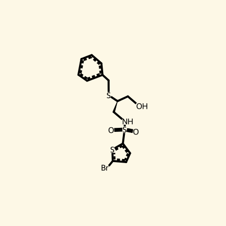 O=S(=O)(NC[C@H](CO)SCc1ccccc1)c1ccc(Br)s1